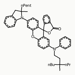 CCCCCC1(C)Cc2ccccc2N1c1ccc2c(c1)Oc1ccc(N(CCC(C)(CCC)CCCC)c3ccccc3)cc1C21OC(=O)c2ccccc21